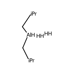 CC(C)[CH2][AlH][CH2]C(C)C.[HH].[HH]